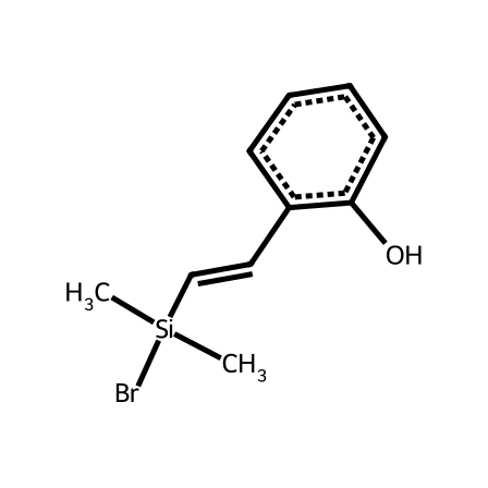 C[Si](C)(Br)C=Cc1ccccc1O